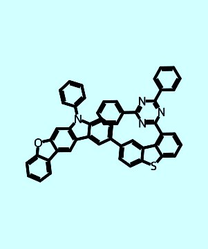 c1ccc(-c2nc(-c3ccccc3)nc(-c3cccc4sc5ccc(-c6ccc7c(c6)c6cc8c(cc6n7-c6ccccc6)oc6ccccc68)cc5c34)n2)cc1